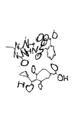 COC(=O)c1ccccc1S(=O)(=O)NC(=O)N(C)c1nc(C)nc(OC)n1.O=C1CC(C(=O)O)CC(=O)C1=C(O)C1CC1